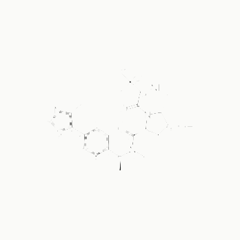 Cc1ncsc1-c1ccc([C@H](C)N(C)C(=O)[C@@H]2C[C@@H](O)CN2C(=O)[C@@H](N)C(C)(C)C)cc1